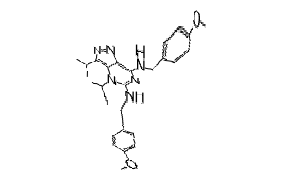 COc1ccc(CNc2nc(NCc3ccc(OC)cc3)n(C(C)C)c3c(C(C)C)nnc2-3)cc1